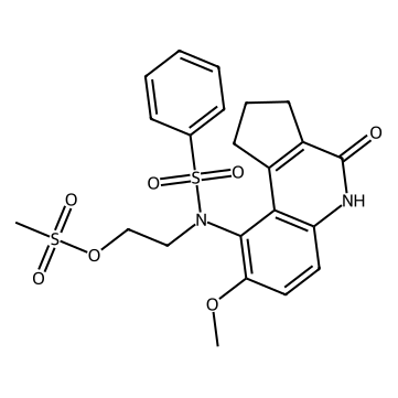 COc1ccc2[nH]c(=O)c3c(c2c1N(CCOS(C)(=O)=O)S(=O)(=O)c1ccccc1)CCC3